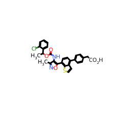 Cc1noc(-c2ccc(-c3ccc(CC(=O)O)cc3)c3ccsc23)c1NC(=O)OC(C)c1ccccc1Cl